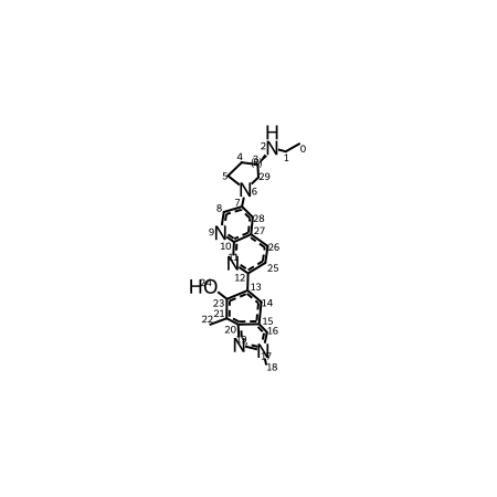 CCN[C@@H]1CCN(c2cnc3nc(-c4cc5cn(C)nc5c(C)c4O)ccc3c2)C1